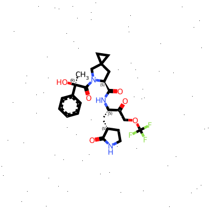 C[C@](O)(C(=O)N1CC2(CC2)C[C@H]1C(=O)N[C@@H](C[C@@H]1CCNC1=O)C(=O)COC(F)(F)F)c1ccccc1